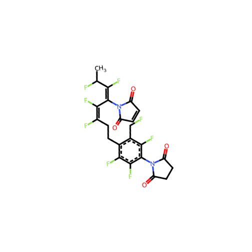 CC(F)/C(F)=C(\C(F)=C(\F)CCc1c(F)c(F)c(N2C(=O)CCC2=O)c(F)c1CF)N1C(=O)C=CC1=O